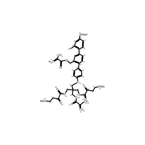 C=C(C)C(=O)OCc1cc(-c2ccc(CCCCCCC)cc2F)ccc1-c1ccc(OCC(COC(=O)C(=C)C)(COC(=O)C(=O)CCOC)COC(=O)C(=O)CCOC)cc1